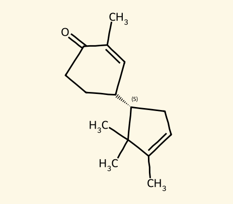 CC1=CC([C@@H]2CC=C(C)C2(C)C)CCC1=O